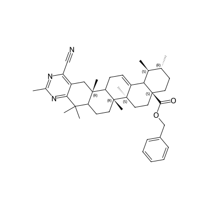 Cc1nc(C#N)c2c(n1)C(C)(C)C1CC[C@]3(C)C(CC=C4C5[C@@H](C)[C@H](C)CC[C@]5(C(=O)OCc5ccccc5)CC[C@]43C)[C@@]1(C)C2